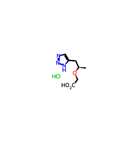 C[C@H](Cc1cnn[nH]1)OCC(=O)O.Cl